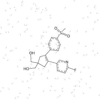 CS(=O)(=O)c1ccc(C2=C(c3ccc(F)nc3)CC(CO)(CO)C2)cc1